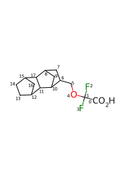 O=C(O)C(F)(F)OCC1CC2CC1C1C3CCC(C3)C21